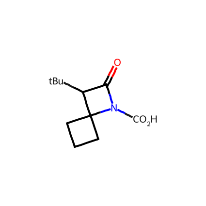 CC(C)(C)C1C(=O)N(C(=O)O)C12CCC2